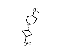 CC1CCN(C2CC(C=O)C2)CC1